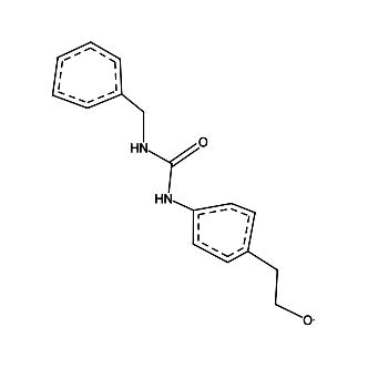 [O]CCc1ccc(NC(=O)NCc2ccccc2)cc1